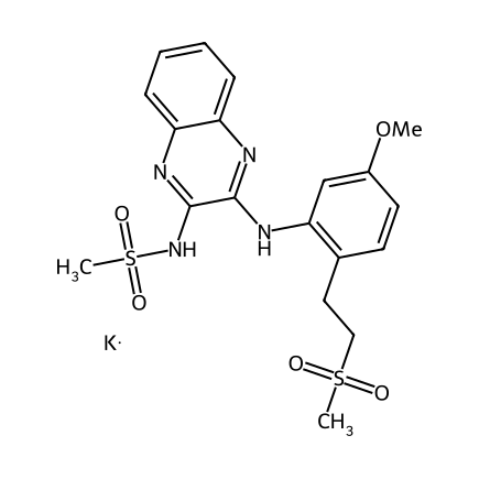 COc1ccc(CCS(C)(=O)=O)c(Nc2nc3ccccc3nc2NS(C)(=O)=O)c1.[K]